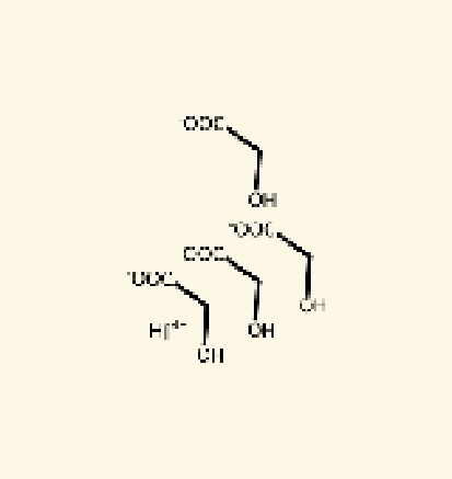 O=C([O-])CO.O=C([O-])CO.O=C([O-])CO.O=C([O-])CO.[Hf+4]